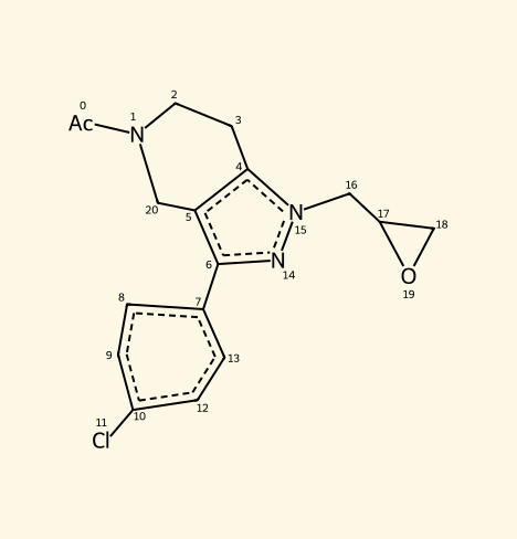 CC(=O)N1CCc2c(c(-c3ccc(Cl)cc3)nn2CC2CO2)C1